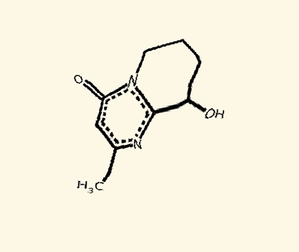 Cc1cc(=O)n2c(n1)C(O)CCC2